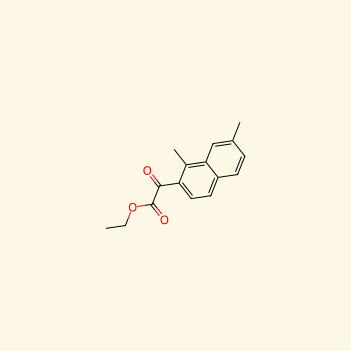 CCOC(=O)C(=O)c1ccc2ccc(C)cc2c1C